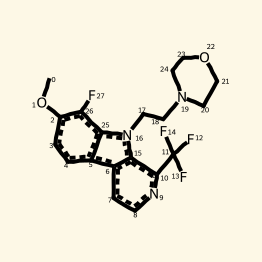 COc1ccc2c3ccnc(C(F)(F)F)c3n(CCN3CCOCC3)c2c1F